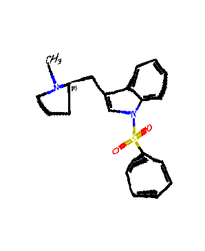 CN1CCC[C@@H]1Cc1cn(S(=O)(=O)c2ccccc2)c2ccccc12